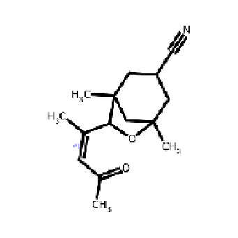 CC(=O)/C=C(/C)C1OC2(C)CC(C#N)CC1(C)C2